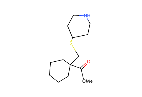 COC(=O)C1(CSC2CCNCC2)CCCCC1